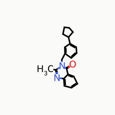 Cc1nc2ccccc2c(=O)n1Cc1cccc(C2CCCC2)c1